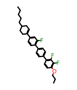 CCCCCC1CC=C(c2ccc(-c3ccc(-c4ccc(OCCC)c(F)c4F)cc3)c(F)c2)CC1